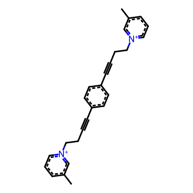 Cc1ccc[n+](CCC#Cc2ccc(C#CCC[n+]3cccc(C)c3)cc2)c1